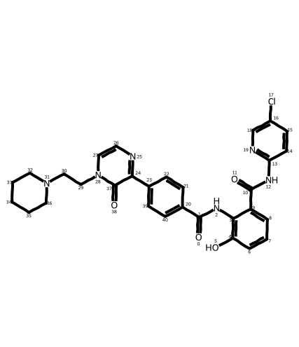 O=C(Nc1c(O)cccc1C(=O)Nc1ccc(Cl)cn1)c1ccc(-c2nccn(CCN3CCCCC3)c2=O)cc1